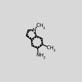 Cc1cc2c(ccn2C)cc1N